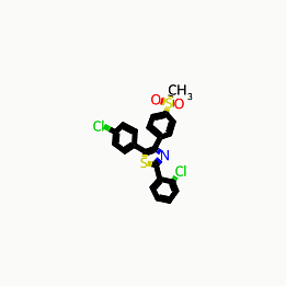 CS(=O)(=O)c1ccc(-c2nc(-c3ccccc3Cl)sc2-c2ccc(Cl)cc2)cc1